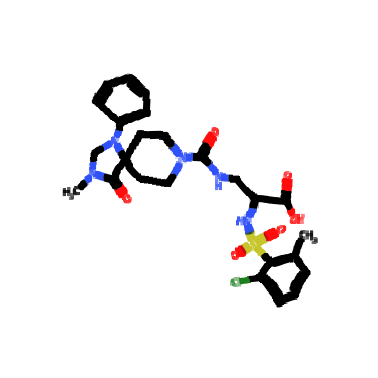 Cc1cccc(Cl)c1S(=O)(=O)NC(CNC(=O)N1CCC2(CC1)C(=O)N(C)CN2c1ccccc1)C(=O)O